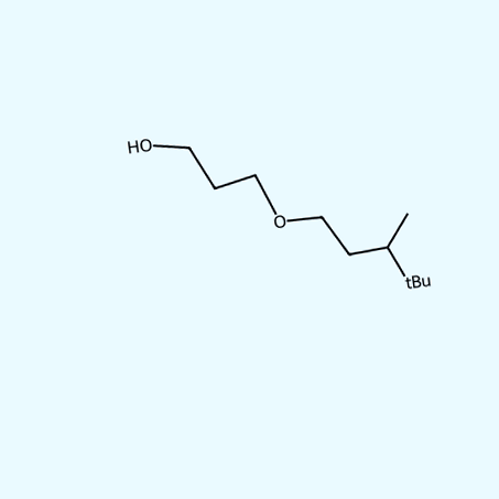 CC(CCOCCCO)C(C)(C)C